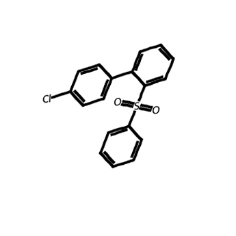 O=S(=O)(c1ccccc1)c1ccccc1-c1ccc(Cl)cc1